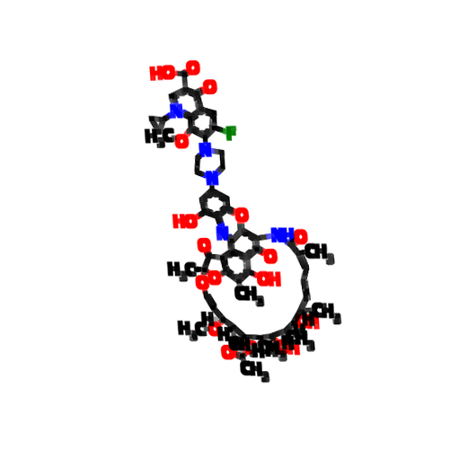 COc1c(N2CCN(c3cc(O)c4nc5c6c7c8c(C)c(O)c6c(=O)c(c-5oc4c3)NC(=O)/C(C)=C\C=C\[C@H](C)[C@H](O)[C@@H](C)[C@@H](O)[C@@H](C)[C@H](OC(C)=O)[C@H](C)[C@@H](OC)/C=C/O[C@@](C)(O8)C7=O)CC2)c(F)cc2c(=O)c(C(=O)O)cn(C3CC3)c12